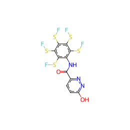 O=C(Nc1c(SF)c(SF)c(SF)c(SF)c1SF)c1ccc(O)nn1